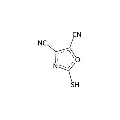 N#Cc1nc(S)oc1C#N